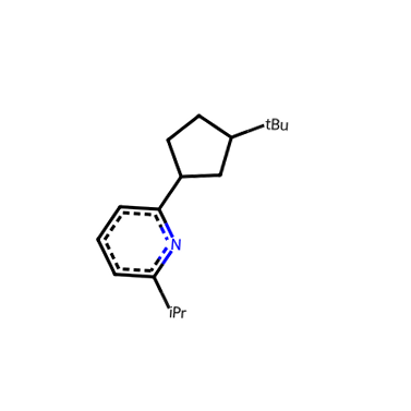 CC(C)c1cccc(C2CCC(C(C)(C)C)C2)n1